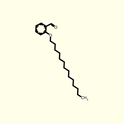 CCCCCCCCCCCCCCOc1ccccc1C=O